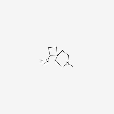 CN1CCC2(CCC2N)CC1